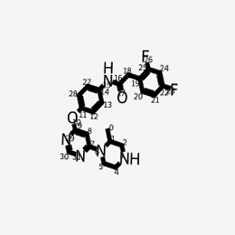 CC1CNCCN1c1cc(Oc2ccc(NC(=O)Cc3ccc(F)cc3F)cc2)ncn1